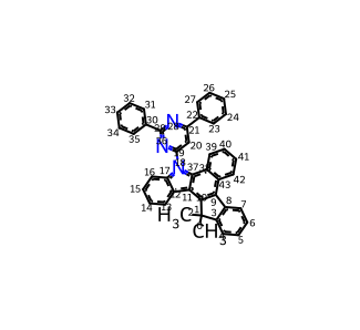 CC1(C)c2ccccc2-c2c1c1c3ccccc3n(-c3cc(-c4ccccc4)nc(-c4ccccc4)n3)c1c1ccccc21